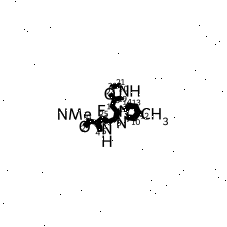 CNC(=O)c1c[nH]c(-c2nc3cc(C)ccn3c2CC2CNCCO2)c1F